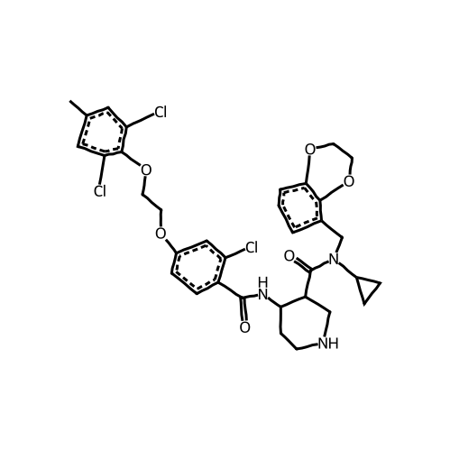 Cc1cc(Cl)c(OCCOc2ccc(C(=O)NC3CCNCC3C(=O)N(Cc3cccc4c3OCCO4)C3CC3)c(Cl)c2)c(Cl)c1